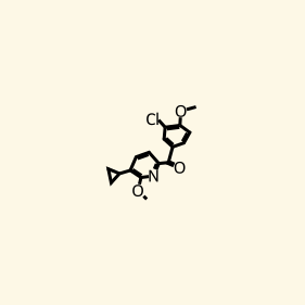 COc1ccc(C(=O)c2ccc(C3CC3)c(OC)n2)cc1Cl